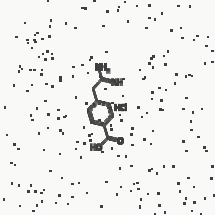 Cl.N=C(N)Cc1ccc(C(=O)O)cc1